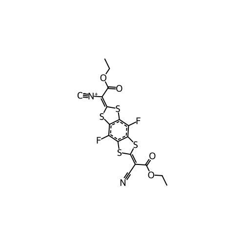 [C-]#[N+]C(C(=O)OCC)=C1Sc2c(F)c3c(c(F)c2S1)SC(=C(C#N)C(=O)OCC)S3